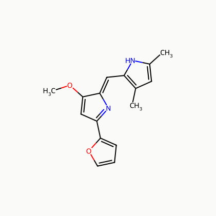 COC1=CC(c2ccco2)=NC1=Cc1[nH]c(C)cc1C